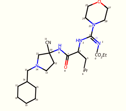 CCOC(=O)/N=C(\NC(CC(C)C)C(=O)NC1(C#N)CCN(CC2CCCCC2)C1)N1CCOCC1